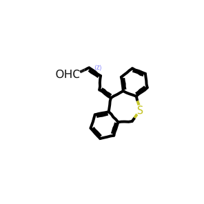 O=C/C=C\C=C1c2ccccc2CSc2ccccc21